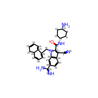 N#Cc1c(C(=O)N[C@H]2CC[C@H](N)CC2)n(CC2=CC=CC3CC=CC=C23)c2cc(C(=N)N)ccc12